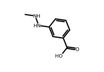 CNNc1cccc(C(=O)O)c1